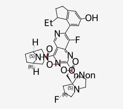 CCCCCCCCCC(=O)OCOC(=O)N1[C@@H]2CC[C@H]1CN(c1nc(OC[C@@]34CCCN3C[C@H](F)C4)nc3c(F)c(-c4cc(O)cc5c4C(CC)CC5)ncc13)C2